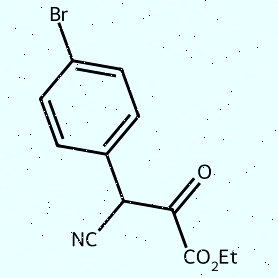 CCOC(=O)C(=O)C(C#N)c1ccc(Br)cc1